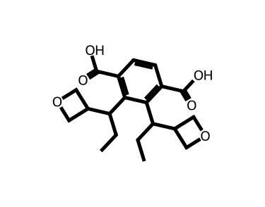 CCC(c1c(C(=O)O)ccc(C(=O)O)c1C(CC)C1COC1)C1COC1